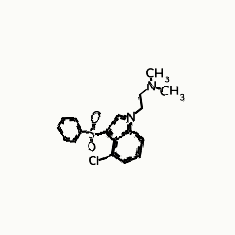 CN(C)CCn1cc(S(=O)(=O)c2ccccc2)c2c(Cl)cccc21